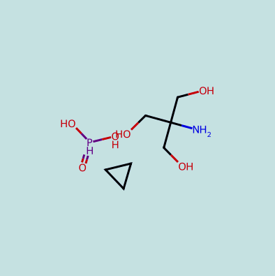 C1CC1.NC(CO)(CO)CO.O=[PH](O)O